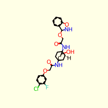 O=C(COc1ccc(Cl)c(F)c1)NC12CCC(NC(=O)COC3NOc4ccccc43)(CC1)[C@@H](O)C2